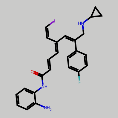 Nc1ccccc1NC(=O)/C=C/C=C(\C=C/I)/C=C(/CNC1CC1)c1ccc(F)cc1